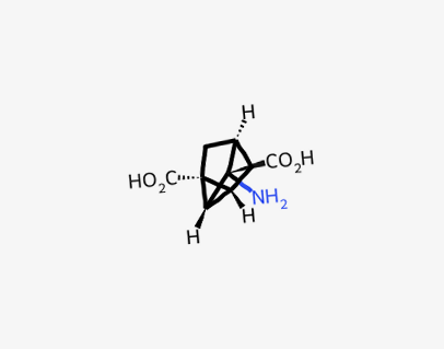 N[C@@]1(C(=O)O)[C@@H]2C[C@@H]3[C@@H]1[C@@]3(C(=O)O)C2